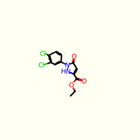 CCOC(=O)c1cc(=O)n(-c2ccc(Cl)c(Cl)c2)[nH]1